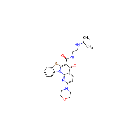 CC(C)NCCNC(=O)c1c(=O)c2ccc(N3CCOCC3)nc2n2c1sc1ccccc12